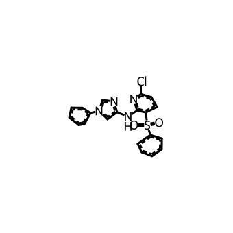 O=S(=O)(c1ccccc1)c1ccc(Cl)nc1Nc1cn(-c2ccccc2)cn1